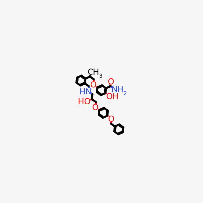 CC(COc1ccc(O)c(C(N)=O)c1)c1ccccc1CNCC(O)COc1ccc(OCc2ccccc2)cc1